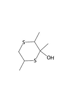 CC1CSC(C)C(C)(O)S1